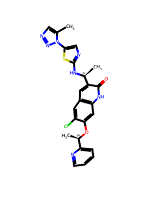 Cc1cnnn1-c1cnc(N[C@@H](C)c2cc3cc(Cl)c(O[C@H](C)c4ccccn4)cc3[nH]c2=O)s1